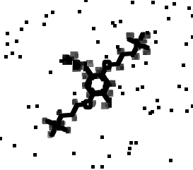 C[N+](C)(C)CCCOc1cc(I)c(OCCC[N+](C)(C)C)cc1I.[Br-].[Br-]